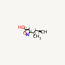 C#CC[C@H](C)c1cc(O)on1